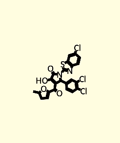 CC1CC=C(C(=O)C2=C(O)C(=O)N(c3nc4ccc(Cl)cc4s3)C2c2ccc(Cl)c(Cl)c2)O1